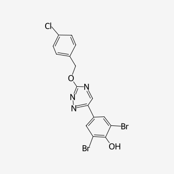 Oc1c(Br)cc(-c2cnc(OCc3ccc(Cl)cc3)nn2)cc1Br